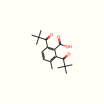 Cc1ccc(C(=O)C(C)(C)C)c(C(=O)O)c1C(=O)C(C)(C)C